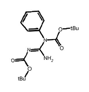 CC(C)(C)OC(=O)N=C(N)N(C(=O)OC(C)(C)C)c1ccccc1